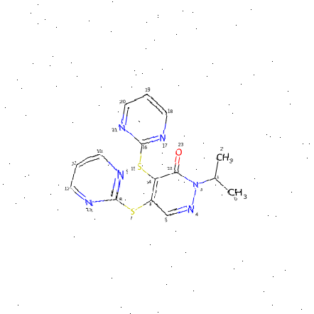 CC(C)n1ncc(Sc2ncccn2)c(Sc2ncccn2)c1=O